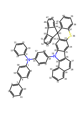 c1ccc(-c2ccc(N(c3ccccc3)c3ccc(-n4c5cc6c(cc5c5ccc7ccccc7c54)Sc4ccccc4C64c5ccccc5-c5ccccc54)cc3)cc2)cc1